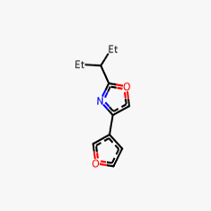 CCC(CC)c1nc(-c2ccoc2)co1